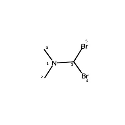 CN(C)C(Br)Br